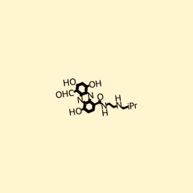 CC(C)CNCCNC(=O)c1ccc(O)c2nc3c(C=O)c(O)cc(O)c3nc12